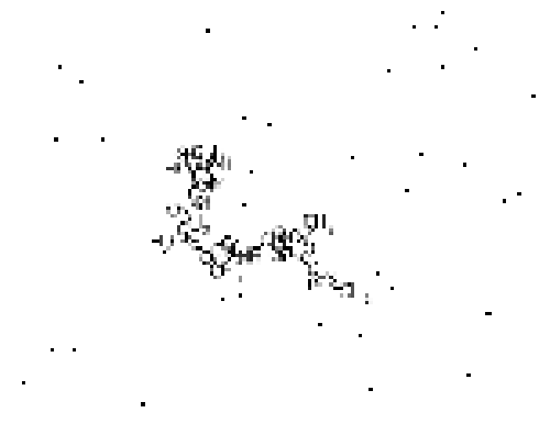 CCSC(=O)OCC(COP(=O)(O)OCCNC(=O)CC(C)(C)OCCC(C)(C)OCC(=O)NCCCC(O)(P(=O)(O)O)P(=O)(O)O)OC(=O)CC